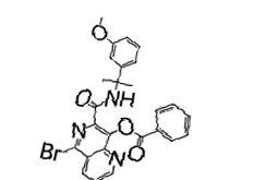 COc1cccc(C(C)(C)NC(=O)c2nc(Br)c3cccnc3c2OC(=O)c2ccccc2)c1